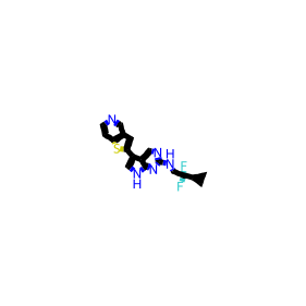 FC(F)(CNc1ncc2c(-c3cc4cnccc4s3)c[nH]c2n1)C1CC1